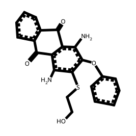 Nc1c(Oc2ccccc2)c(SCCO)c(N)c2c1C(=O)c1ccccc1C2=O